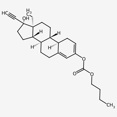 C#C[C@]1(O)CC[C@H]2[C@@H]3CCC4=CC(OC(=O)OCCCC)=CC[C@@H]4[C@H]3CC[C@@]21CC